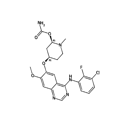 COc1cc2ncnc(Nc3cccc(Cl)c3F)c2cc1O[C@@H]1CCN(C)[C@H](OC(N)=O)C1